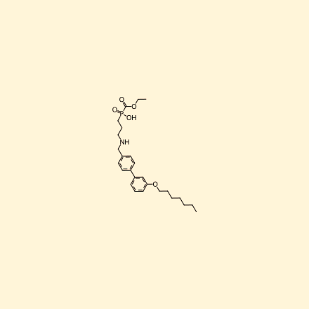 CCCCCCCOc1cccc(-c2ccc(CNCCCP(=O)(O)C(=O)OCC)cc2)c1